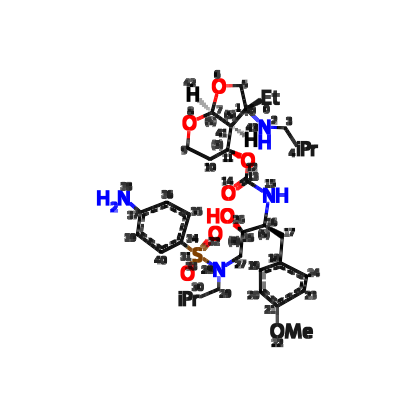 CC[C@]1(NCC(C)C)CO[C@@H]2OCC[C@H](OC(=O)N[C@@H](Cc3ccc(OC)cc3)[C@H](O)CN(CC(C)C)S(=O)(=O)c3ccc(N)cc3)[C@@H]21